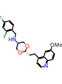 COc1ccc2nccc(CC[C@H]3OC[C@H](NCc4ccc(F)cc4F)CO3)c2c1